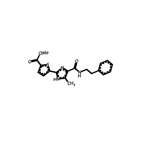 COC(=O)c1ccc(-c2nc(C(=O)NCCc3ccccc3)c(C)[nH]2)s1